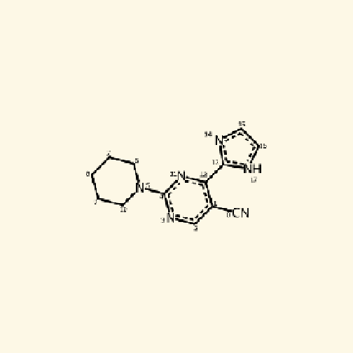 N#Cc1cnc(N2CCCCC2)nc1-c1ncc[nH]1